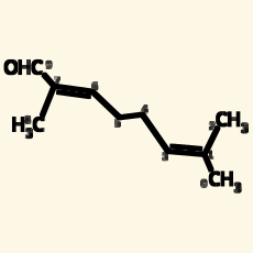 CC(C)=CCCC=C(C)C=O